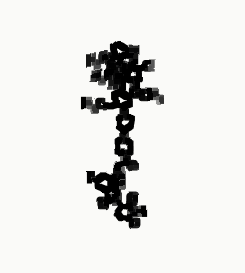 CCc1cc(Nc2ncc(Cl)c(Nc3cccc(OC)c3NS(C)(=O)=O)n2)c(OC)cc1N1CCC(N2CCN(C(=O)CNc3cc(F)cc4c3CN(C3CCC(=O)NC3=O)C4=O)CC2)CC1